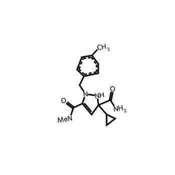 CNC(=O)C1=CC(C(N)=O)(C2CC2)NN1Cc1ccc(C)cc1